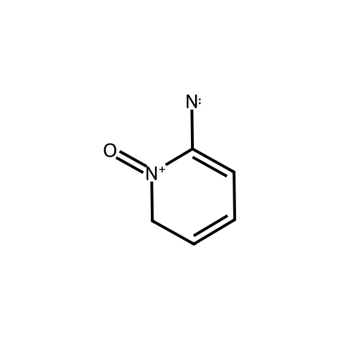 [N]C1=CC=CC[N+]1=O